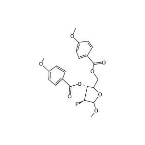 COc1ccc(C(=O)OCC2OC(OC)[C@@H](F)[C@@H]2OC(=O)c2ccc(OC)cc2)cc1